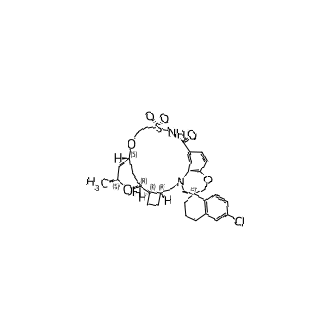 C[C@H]1C[C@H]2C[C@@H](O1)[C@@H]1CC[C@H]1CN1C[C@@]3(CCCc4cc(Cl)ccc43)COc3ccc(cc31)C(=O)NS(=O)(=O)CCO2